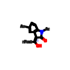 CCCCC/C(O)=C1/C(=O)N(C(C)=O)c2ccc(C(C)=O)cc21